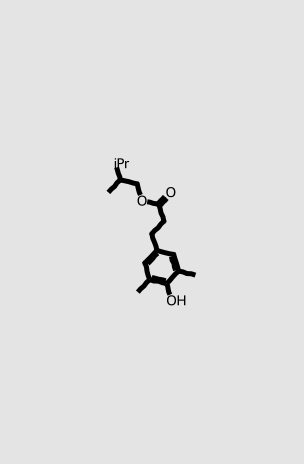 Cc1cc(CCC(=O)OCC(C)C(C)C)cc(C)c1O